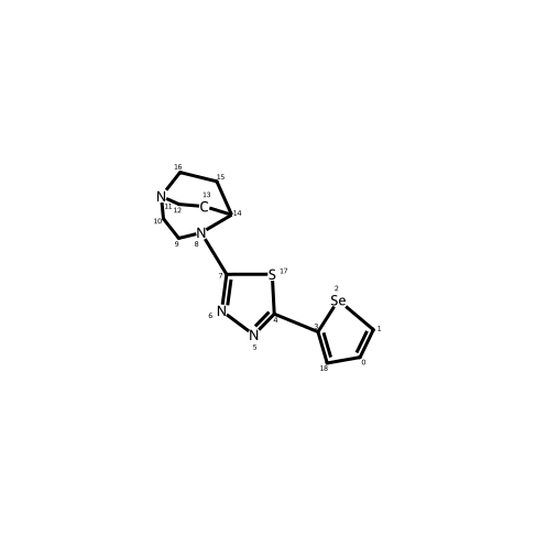 c1c[se]c(-c2nnc(N3CCN4CCC3CC4)s2)c1